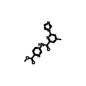 COC(=O)c1ccc(NC(=O)c2cc(C)cc(-n3ccnc3)n2)cn1